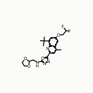 Cc1cc(-c2nnc(NCC3OCCO3)o2)nc2c(C(C)(C)C)cc(OCC(F)F)cc12